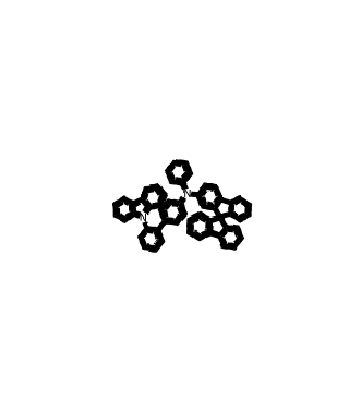 c1ccc(N(c2ccc(-c3ccccc3-n3c4ccccc4c4ccccc43)cc2)c2ccc3c(c2)C2(c4ccccc4-c4ccccc42)c2ccccc2-3)cc1